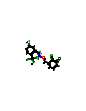 FC(F)(F)c1ccc(Cl)cc1/C=N/OCc1cccc(Cl)c1Cl